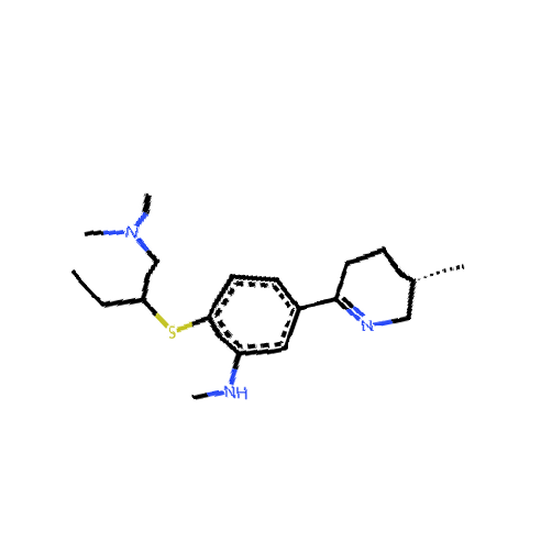 CCC(CN(C)C)Sc1ccc(C2=NC[C@@H](C)CC2)cc1NC